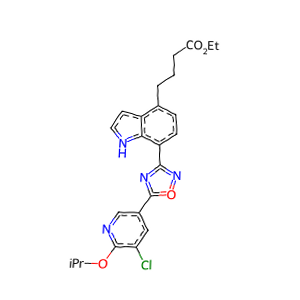 CCOC(=O)CCCc1ccc(-c2noc(-c3cnc(OC(C)C)c(Cl)c3)n2)c2[nH]ccc12